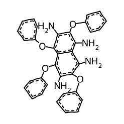 Nc1c(Oc2ccccc2)c(N)c2c(N)c(Oc3ccccc3)c(N)c(Oc3ccccc3)c2c1Oc1ccccc1